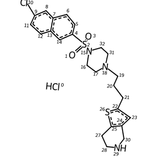 Cl.O=S(=O)(c1ccc2cc(Cl)ccc2c1)N1CCN(CCCc2cc3c(s2)CCNC3)CC1